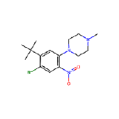 CN1CCN(c2cc(C(C)(C)C)c(Br)cc2[N+](=O)[O-])CC1